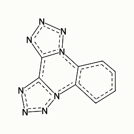 c1ccc2c(c1)n1nnnc1c1nnnn21